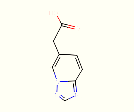 O=C(O)Cc1ccc2ncnn2c1